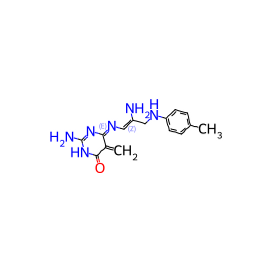 C=C1C(=O)NC(N)=N/C1=N/C=C(\N)CNc1ccc(C)cc1